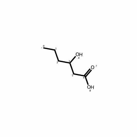 [CH2]CCC(O)CC(=O)O